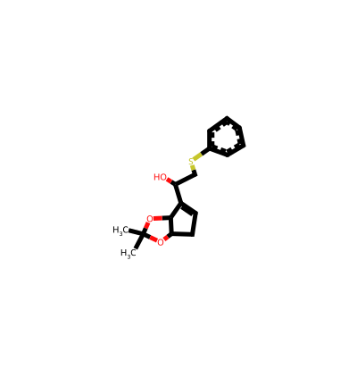 CC1(C)OC2CC=C(C(O)CSc3ccccc3)C2O1